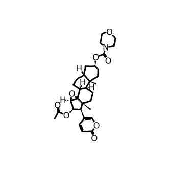 CC(=O)O[C@H]1[C@H]2O[C@]23[C@@H]2CC[C@@H]4C[C@@H](OC(=O)N5CCOCC5)CC[C@]4(C)[C@H]2CC[C@]3(C)[C@H]1c1ccc(=O)oc1